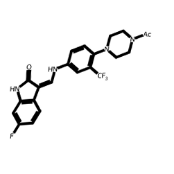 CC(=O)N1CCN(c2ccc(NC=C3C(=O)Nc4cc(F)ccc43)cc2C(F)(F)F)CC1